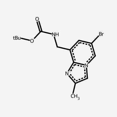 Cc1cn2cc(Br)cc(CNC(=O)OC(C)(C)C)c2n1